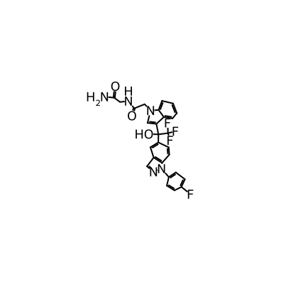 NC(=O)CNC(=O)Cn1cc(C(O)(c2ccc3c(cnn3-c3ccc(F)cc3)c2)C(F)(F)F)c2ccccc21